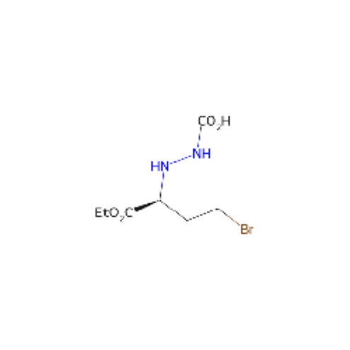 CCOC(=O)[C@H](CCBr)NNC(=O)O